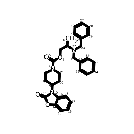 CC(COC(=O)N1CCC(n2c(=O)oc3ccccc32)CC1)N(Cc1ccccc1)Cc1ccccc1